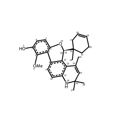 COc1c(O)ccc2c1-c1ccc3c(c1[C@H](C1(C)CC=CCC1)O2)C(C)=CC(C)(C)N3